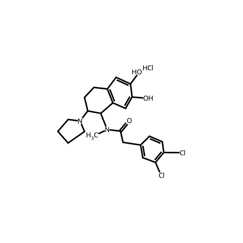 CN(C(=O)Cc1ccc(Cl)c(Cl)c1)C1c2cc(O)c(O)cc2CCC1N1CCCC1.Cl